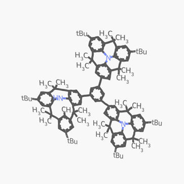 Cc1c2cc(C(C)(C)C)cc1C(C)(C)c1cc(C(C)(C)C)cc3c1Nc1c(cc(-c4cc(-c5cc6c7c(c5)C(C)(C)c5cc(C(C)(C)C)cc8c5N7c5c(cc(C(C)(C)C)cc5C8(C)C)C6(C)C)cc(-c5cc6c7c(c5)C(C)(C)c5cc(C(C)(C)C)cc8c5N7c5c(cc(C(C)(C)C)cc5C8(C)C)C6(C)C)c4)cc1C3(C)C)C2(C)C